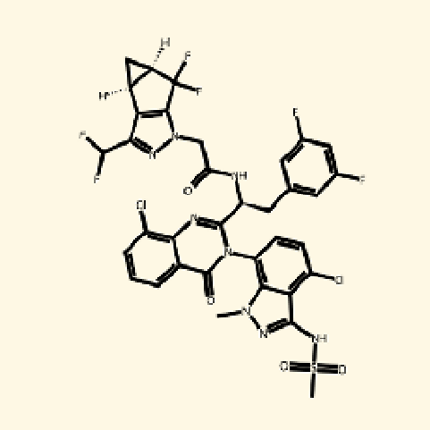 Cn1nc(NS(C)(=O)=O)c2c(Cl)ccc(-n3c([C@H](Cc4cc(F)cc(F)c4)NC(=O)Cn4nc(C(F)F)c5c4C(F)(F)[C@@H]4C[C@H]54)nc4c(Cl)cccc4c3=O)c21